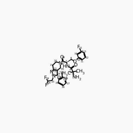 CC(C)(N)C(=O)N[C@H](COc1cccc(F)c1)C(=O)N1CCC2=NN(CC(F)F)C(=O)[C@]2(Cc2ccccn2)C1